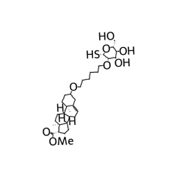 COC(=O)[C@H]1CC[C@H]2[C@@H]3CC=C4CC(OCCCCCCO[C@H]5[C@@H](O)[C@H](O)[C@@H](CO)O[C@H]5S)CC[C@]4(C)[C@H]3CC[C@]12C